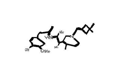 C=C(Cc1ccc(N=O)c(OC)c1)N/C(CCCC)=C(\C#N)C1=C(C)CCN(CC2CC(C)(C)C2)C1